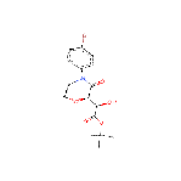 CC(C)(C)OC(=O)[C@H](O)[C@H]1OCCN(c2ccc(Br)cc2)C1=O